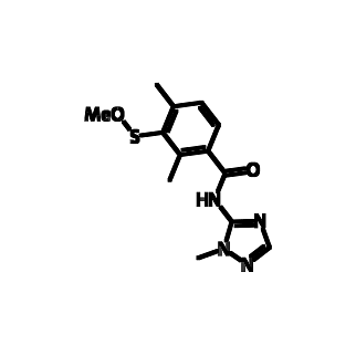 COSc1c(C)ccc(C(=O)Nc2ncnn2C)c1C